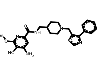 CCOc1nc(C(=O)NCC2CCN(Cc3scnc3-c3ccccc3)CC2)cc(N)c1C#N